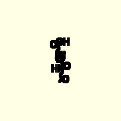 CC(=O)CCNC(=O)c1cc[n+](CCC(=O)O)nc1